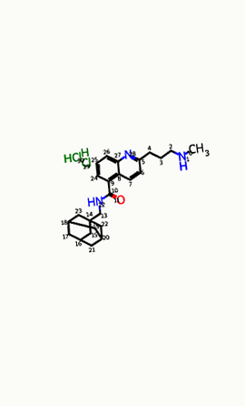 CNCCCc1ccc2c(C(=O)NCC34CC5CC(CC(C5)C3)C4)cccc2n1.Cl.Cl